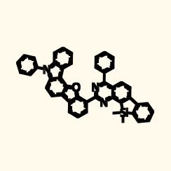 C[Si]1(C)c2ccccc2-c2ccc3c(-c4ccccc4)nc(-c4cccc5c4oc4c5ccc5c4c4ccccc4n5-c4ccccc4)nc3c21